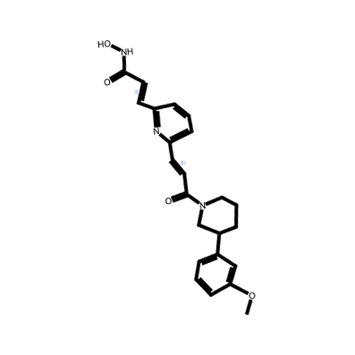 COc1cccc(C2CCCN(C(=O)/C=C/c3cccc(/C=C/C(=O)NO)n3)C2)c1